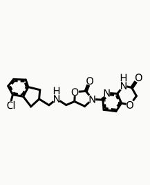 O=C1COc2ccc(N3CC(CNCC4Cc5cccc(Cl)c5C4)OC3=O)nc2N1